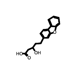 O=C(O)CC(O)CCc1ccc2c(c1)oc1ccccc12